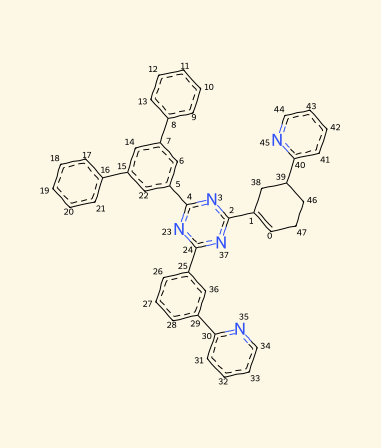 C1=C(c2nc(-c3cc(-c4ccccc4)cc(-c4ccccc4)c3)nc(-c3cccc(-c4ccccn4)c3)n2)CC(c2ccccn2)CC1